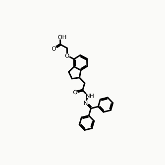 O=C(O)COc1cccc2c1CCC2CC(=O)NN=C(c1ccccc1)c1ccccc1